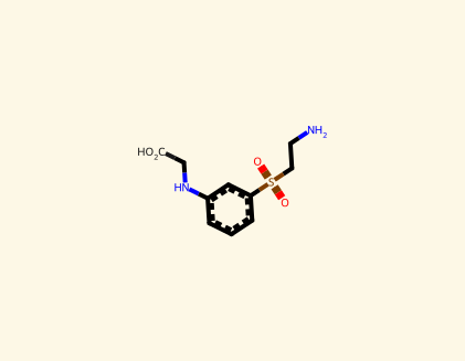 NCCS(=O)(=O)c1cccc(NCC(=O)O)c1